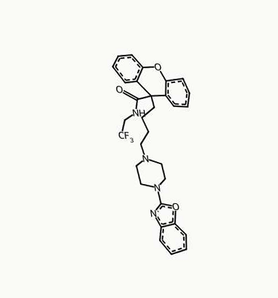 O=C(NCC(F)(F)F)C1(CCCCN2CCN(c3nc4ccccc4o3)CC2)c2ccccc2Oc2ccccc21